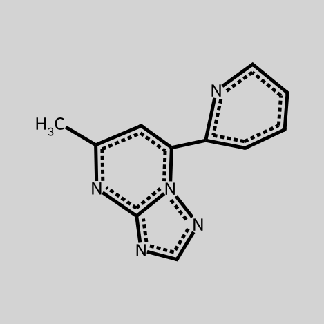 Cc1cc(-c2ccccn2)n2ncnc2n1